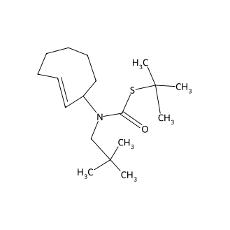 CC(C)(C)CN(C(=O)SC(C)(C)C)C1/C=C/CCCCC1